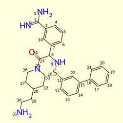 N=C(N)c1cccc(C(NSc2cccc(-c3ccccc3)c2)C(=O)N2CCC(CCN)CC2)c1